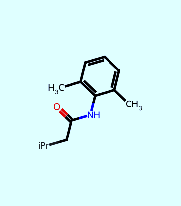 Cc1cccc(C)c1NC(=O)CC(C)C